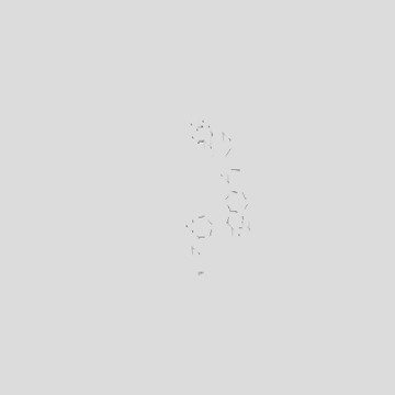 CC1=C(C(=O)Nc2ccc3[nH]nc(-c4ccnc(N5CCO[C@H](C)C5)c4)c3c2)C(C)(C)n2nnnc2N1C